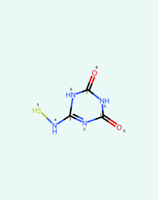 O=c1nc(NS)[nH]c(=O)[nH]1